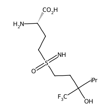 CC(C)C(O)(CCS(=N)(=O)CC[C@H](N)C(=O)O)C(F)(F)F